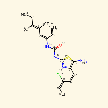 C=C/C(=C\C(=C(/C)CC#N)C(F)(F)F)NC(=O)Nc1nc(/C=C\C(Cl)=C/CC)c(N)s1